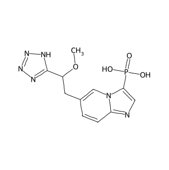 COC(Cc1ccc2ncc(P(=O)(O)O)n2c1)c1nnn[nH]1